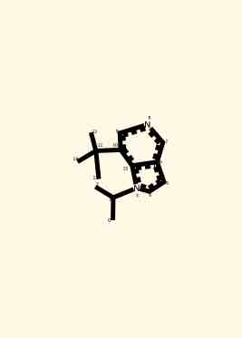 CC(C)n1ccc2cncc(C(C)(C)C)c21